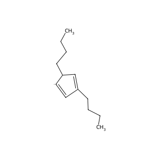 CCCCC1=CC(CCCC)[C]=C1